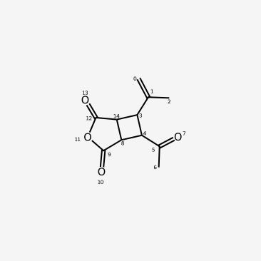 C=C(C)C1C(C(C)=O)C2C(=O)OC(=O)C12